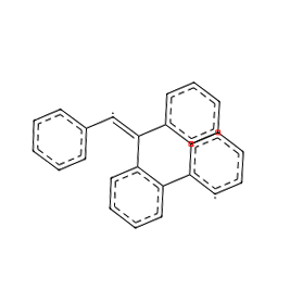 [C](=C(c1ccccc1)c1ccccc1-c1[c]cccc1)c1ccccc1